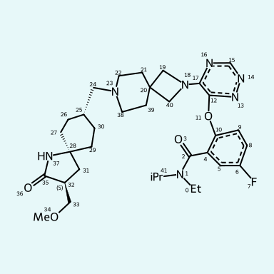 CCN(C(=O)c1cc(F)ccc1Oc1nncnc1N1CC2(CCN(C[C@H]3CC[C@]4(CC3)C[C@@H](COC)C(=O)N4)CC2)C1)C(C)C